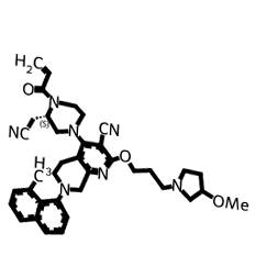 C=CC(=O)N1CCN(c2c(C#N)c(OCCCN3CCC(OC)C3)nc3c2CCN(c2cccc4cccc(C)c24)C3)C[C@@H]1CC#N